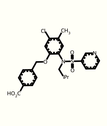 Cc1cc(N(CC(C)C)S(=O)(=O)c2cccnc2)c(OCc2ccc(C(=O)O)cc2)cc1Cl